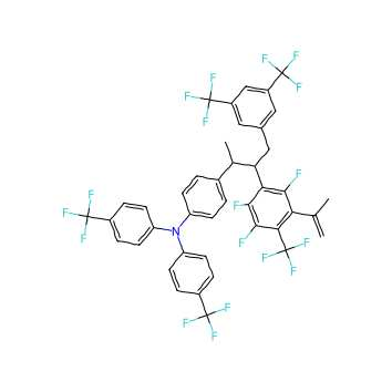 C=C(C)c1c(F)c(C(Cc2cc(C(F)(F)F)cc(C(F)(F)F)c2)C(C)c2ccc(N(c3ccc(C(F)(F)F)cc3)c3ccc(C(F)(F)F)cc3)cc2)c(F)c(F)c1C(F)(F)F